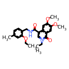 CCOc1cc(C)ccc1CNC(=O)c1cn(CC)c(=O)c2cc(OC)c(OC)cc12